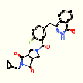 O=C(c1cc(Cc2n[nH]c(=O)c3ccccc23)ccc1F)N1CC2C(=O)N(CC3CC3)C(=O)C2C1